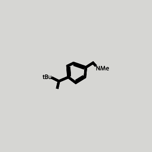 CNCc1ccc(C(C)C(C)(C)C)cc1